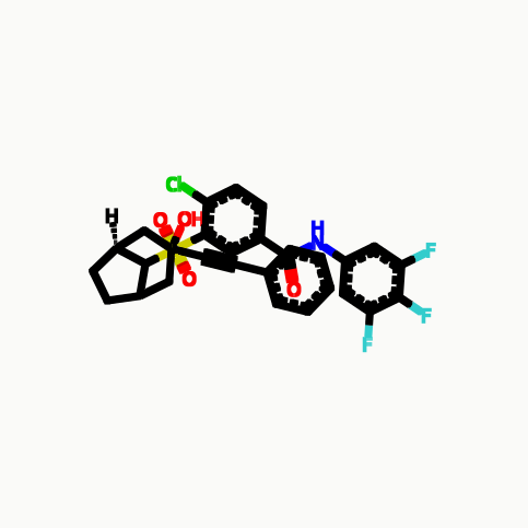 O=C(Nc1cc(F)c(F)c(F)c1)c1ccc(Cl)c(S(=O)(=O)C2C3CC[C@H]2CC(O)(C#Cc2ccccc2)C3)c1